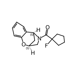 O=C(N1C[C@@H]2C[C@H]1c1ccccc1O2)C1(F)CCCC1